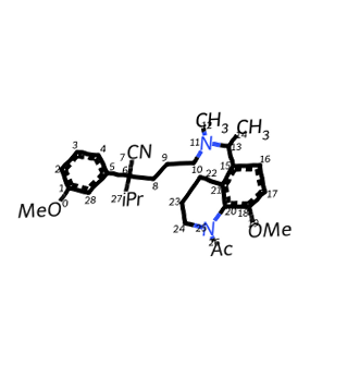 COc1cccc(C(C#N)(CCCN(C)C(C)c2ccc(OC)c3c2CCCN3C(C)=O)C(C)C)c1